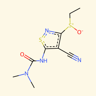 CC[S+]([O-])c1nsc(NC(=O)N(C)C)c1C#N